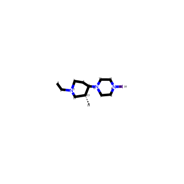 CCN1CCC(N2CCN(I)CC2)[C@H](C)C1